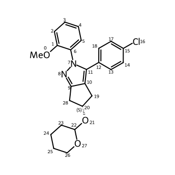 COc1ccccc1-n1nc2c(c1-c1ccc(Cl)cc1)C[C@H](OC1CCCCO1)C2